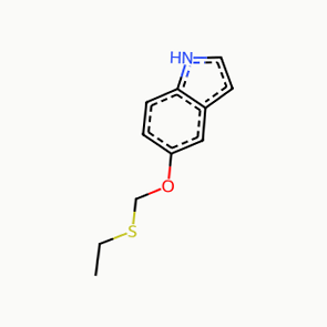 CCSCOc1ccc2[nH]ccc2c1